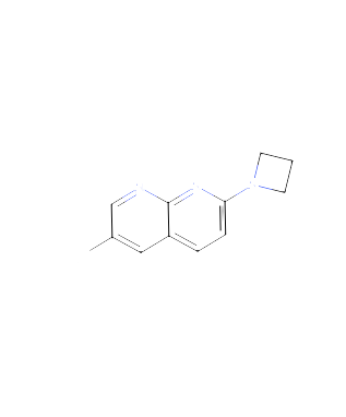 CCOC(=O)c1cnc2nc(N3CCC3)ccc2c1